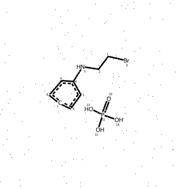 BrCCNc1ccccc1.O=P(O)(O)O